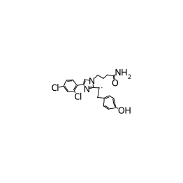 NC(=O)CCCn1cc(-c2ccc(Cl)cc2Cl)nc1[CH]Cc1ccc(O)cc1